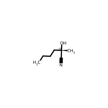 CCCC[C@](C)(O)C#N